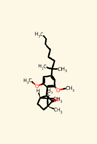 CCCCCCC(C)(C)c1cc(OC)c(C2C(=O)[C@]3(C)CC[C@H]2C3(C)C)c(OC)c1